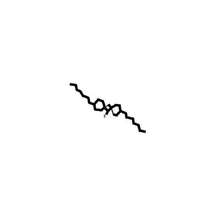 CCCCCCCC1CC[C@]2(CC1)C[C@@]1(CCC(CCCCCCC)CC1)C2F